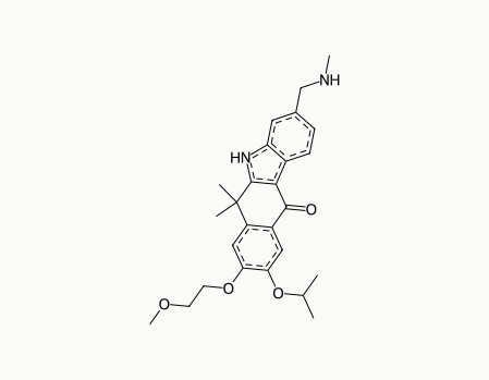 CNCc1ccc2c3c([nH]c2c1)C(C)(C)c1cc(OCCOC)c(OC(C)C)cc1C3=O